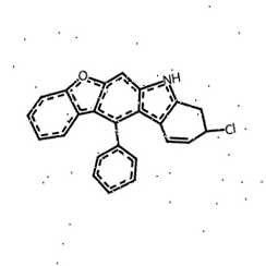 ClC1C=Cc2c([nH]c3cc4oc5ccccc5c4c(-c4ccccc4)c23)C1